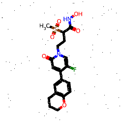 CS(=O)(=O)C(CCn1cc(F)c(-c2ccc3c(c2)CCCO3)cc1=O)C(=O)NO